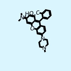 CN1CCN(c2ccc3c(-c4ccccc4C(=O)O)c4ccc(=[N+](C)C)cc-4oc3c2)CC1